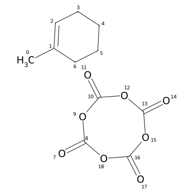 CC1=CCCCC1.O=C1OC(=O)OC(=O)OC(=O)O1